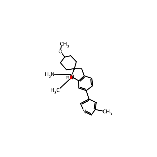 COC1CCC2(CC1)Cc1ccc(-c3cncc(C)c3)cc1[C@]21N=C(C)C(N)=N1